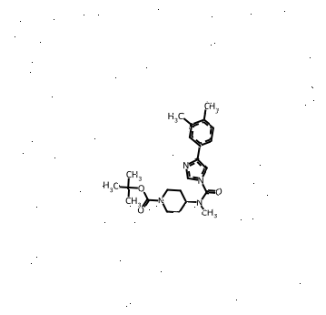 Cc1ccc(-c2cn(C(=O)N(C)C3CCN(C(=O)OC(C)(C)C)CC3)cn2)cc1C